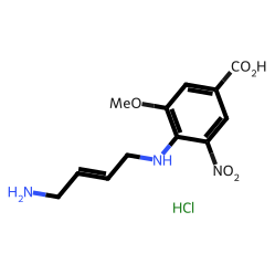 COc1cc(C(=O)O)cc([N+](=O)[O-])c1NCC=CCN.Cl